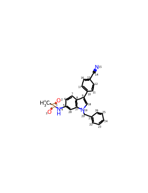 CS(=O)(=O)Nc1ccc2c(-c3ccc(C#N)cc3)cn(Cc3ccccc3)c2c1